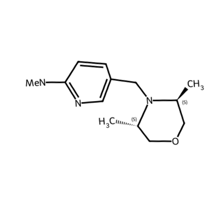 CNc1ccc(CN2[C@@H](C)COC[C@@H]2C)cn1